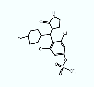 O=C1NCCC1C(c1c(Cl)cc(OS(=O)(=O)C(F)(F)F)cc1Cl)C1CCC(F)CC1